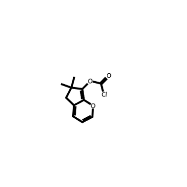 CC1(C)CC2=CC=COC2=C1OC(=O)Cl